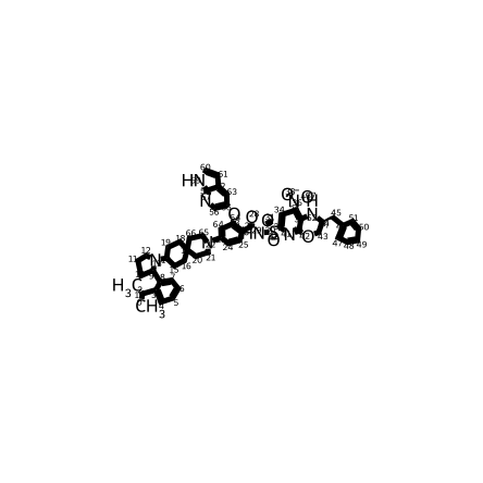 CC(C)c1ccccc1C1CCCN1C1CCC2(CC1)CCN(c1ccc(C(=O)NS(=O)(=O)c3cc([N+](=O)[O-])c4c(n3)OC[C@H](Cc3ccccc3)N4)c(Oc3cnc4[nH]ccc4c3)c1)CC2